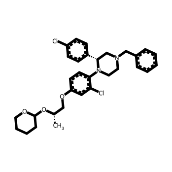 C[C@@H](COc1ccc(N2CCN(Cc3ccccc3)C[C@H]2c2ccc(Cl)cc2)c(Cl)c1)OC1CCCCO1